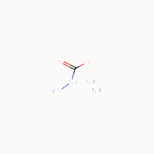 NNC(=O)O.[NaH].[NaH]